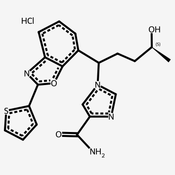 C[C@H](O)CCC(c1cccc2nc(-c3cccs3)oc12)n1cnc(C(N)=O)c1.Cl